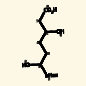 CCCCCCC(O)CCC(O)CC(=O)O